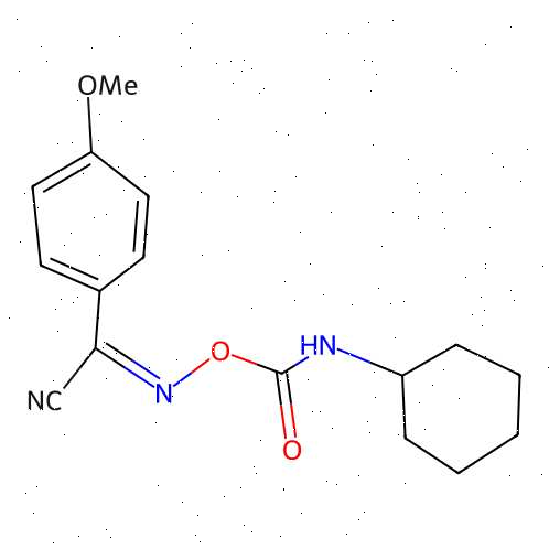 COc1ccc(/C(C#N)=N\OC(=O)NC2CCCCC2)cc1